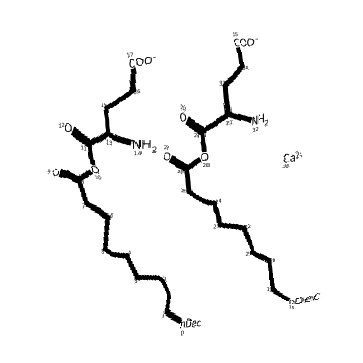 CCCCCCCCCCCCCCCCCC(=O)OC(=O)C(N)CCC(=O)[O-].CCCCCCCCCCCCCCCCCC(=O)OC(=O)C(N)CCC(=O)[O-].[Ca+2]